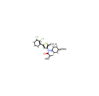 CCCCC(C)C(=O)N(c1cc(C2=C(F)C(F)CCC2)sc1C(=O)O)C1CCC(OC)CC1